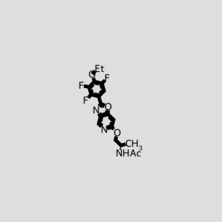 CCOc1c(F)cc(-c2nc3cnc(OC[C@H](C)NC(C)=O)cc3o2)c(F)c1F